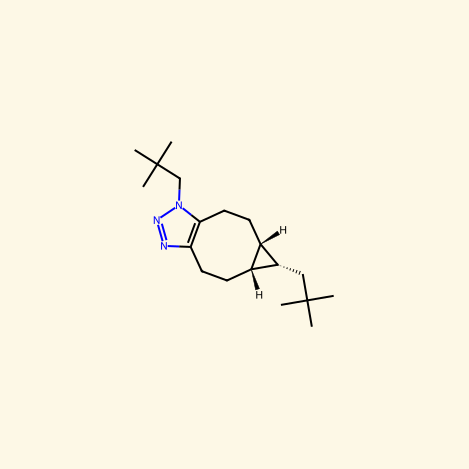 CC(C)(C)C[C@@H]1[C@@H]2CCc3nnn(CC(C)(C)C)c3CC[C@@H]21